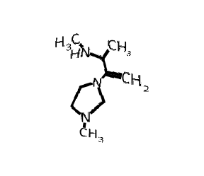 C=C(C(C)NC)N1CCN(C)C1